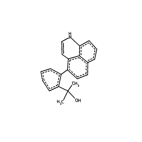 CC(C)(O)c1ccccc1-c1ccc2cccc3c2c1C=CN3